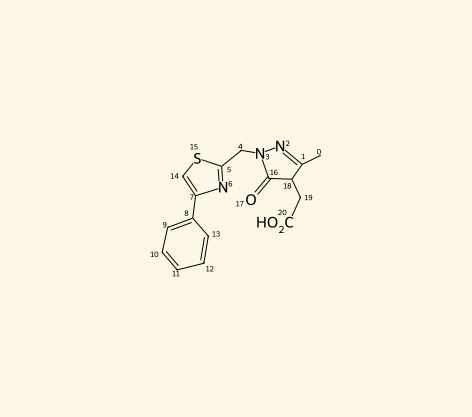 CC1=NN(Cc2nc(-c3ccccc3)cs2)C(=O)C1CC(=O)O